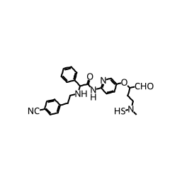 CN(S)CCC(C=O)Oc1ccc(NC(=O)C(NCCc2ccc(C#N)cc2)c2ccccc2)nc1